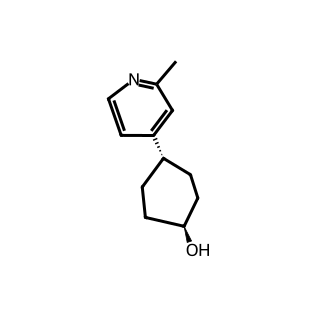 Cc1cc([C@H]2CC[C@H](O)CC2)ccn1